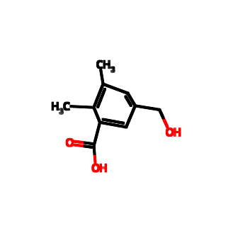 Cc1cc(CO)cc(C(=O)O)c1C